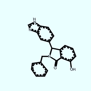 O=C1c2c(O)cccc2C(c2ccc3[nH][c]nc3c2)N1Cc1ccccc1